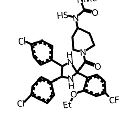 CCOc1cc(C(F)(F)F)ccc1C1(C(=O)N2CCC(N(S)C(=O)NC)CC2)NC(c2ccc(Cl)cc2)C(c2ccc(Cl)cc2)N1